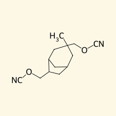 CC1(COC#N)CC2CC(COC#N)C(C2)C1